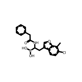 Cc1c(Cl)ccc2c(CC(NC(=O)Cc3ccccc3)B(O)O)coc12